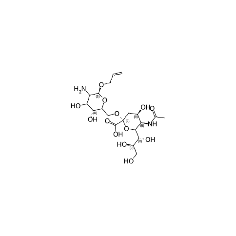 C=CCO[C@H]1OC(CO[C@]2(C(=O)O)C[C@@H](O)[C@@H](NC(C)=O)C([C@H](O)[C@H](O)CO)O2)[C@H](O)C(O)C1N